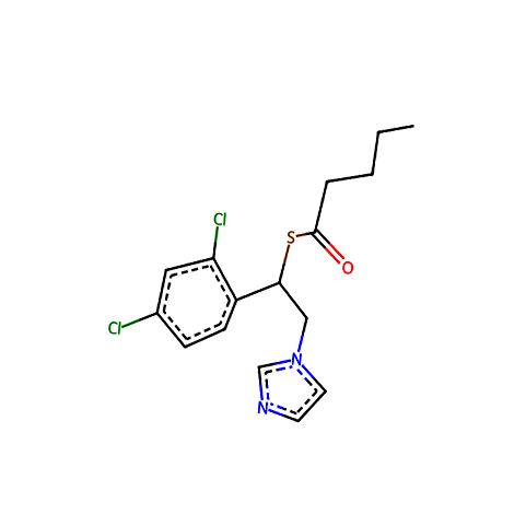 CCCCC(=O)SC(Cn1ccnc1)c1ccc(Cl)cc1Cl